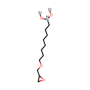 CCO[SiH](CCCCCCCCOCC1CO1)OCC